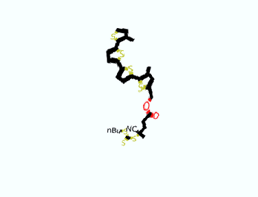 CCCCSC(=S)SC(C)(C#N)CCC(=O)OCc1cc(C)c(-c2ccc(-c3ccc(-c4sccc4C)s3)s2)s1